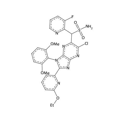 CCOc1cccc(-c2nc3nc(Cl)c(C(c4ncccc4F)S(N)(=O)=O)nc3n2-c2c(OC)cccc2OC)n1